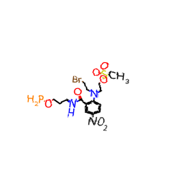 CS(=O)(=O)OCCN(CCBr)c1ccc([N+](=O)[O-])cc1C(=O)NCCCOP